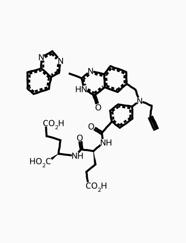 C#CCN(Cc1ccc2nc(C)[nH]c(=O)c2c1)c1ccc(C(=O)N[C@@H](CCC(=O)O)C(=O)N[C@H](CCC(=O)O)C(=O)O)cc1.c1ccc2ncncc2c1